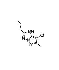 CCCc1nn2nc(C)c(Cl)c2[nH]1